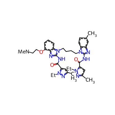 CCn1nc(C)cc1C(=O)Nc1nc2cc(C)ccc2n1CCCCn1c(NC(=O)c2cc(C)nn2CC)nc2c(OCCNC)cccc21